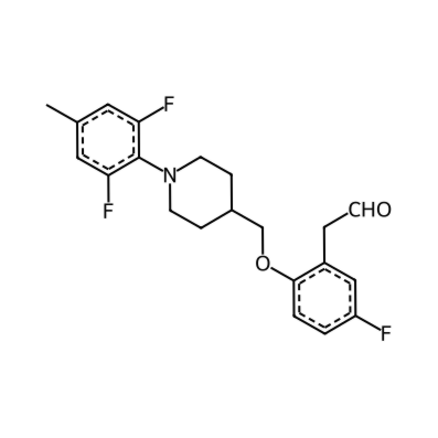 Cc1cc(F)c(N2CCC(COc3ccc(F)cc3CC=O)CC2)c(F)c1